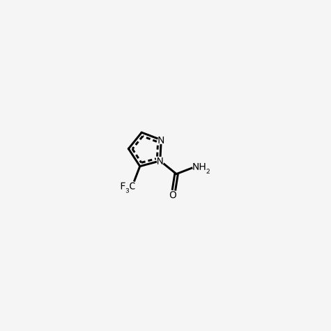 NC(=O)n1nccc1C(F)(F)F